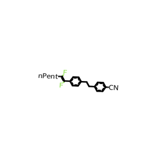 CCCCCC(F)=C(F)c1ccc(CCc2ccc(C#N)cc2)cc1